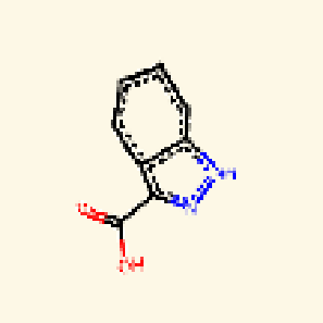 O=C(O)c1n[nH]c2c[c]ccc12